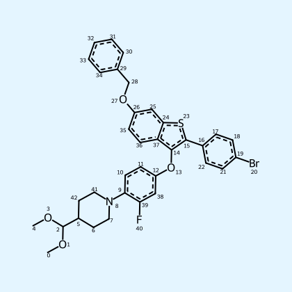 COC(OC)C1CCN(c2ccc(Oc3c(-c4ccc(Br)cc4)sc4cc(OCc5ccccc5)ccc34)cc2F)CC1